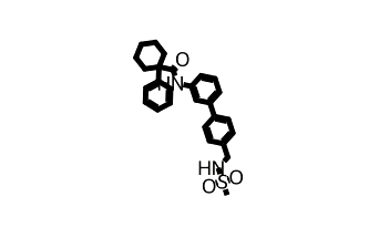 CS(=O)(=O)NCc1ccc(-c2cccc(NC(=O)C3(c4ccccc4)CCCCC3)c2)cc1